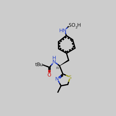 CC1CSC([C@H](Cc2ccc(NS(=O)(=O)O)cc2)NC(=O)C(C)(C)C)=N1